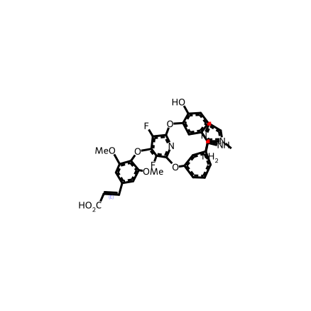 COc1cc(/C=C/C(=O)O)cc(OC)c1Oc1c(F)c(Oc2cccc(-c3nccn3C)c2)nc(Oc2cc(C(=N)N)ccc2O)c1F